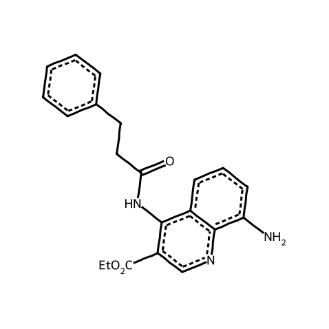 CCOC(=O)c1cnc2c(N)cccc2c1NC(=O)CCc1ccccc1